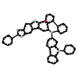 c1ccc(-c2nc3cc4oc5ccc(N(c6ccc7c8ccccc8n(-c8ccccc8)c7c6)c6ccccc6-c6ccccc6)cc5c4cc3o2)cc1